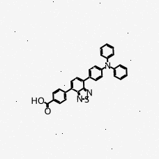 O=C(O)c1ccc(-c2ccc(-c3ccc(N(c4ccccc4)c4ccccc4)cc3)c3nsnc23)cc1